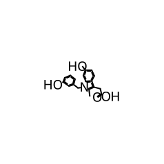 Cc1c(CC(=O)O)c2ccc(O)cc2n1Cc1cccc(O)c1